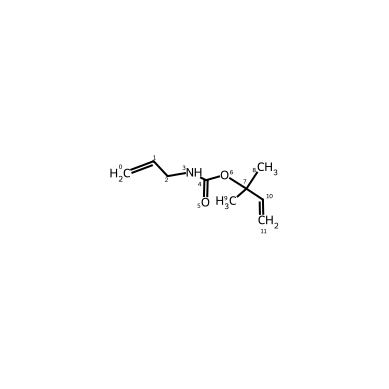 C=CCNC(=O)OC(C)(C)C=C